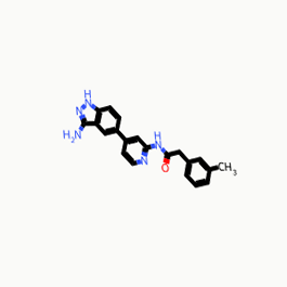 Cc1cccc(CC(=O)Nc2cc(-c3ccc4[nH]nc(N)c4c3)ccn2)c1